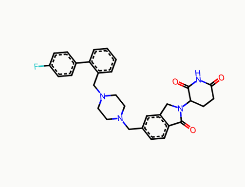 O=C1CCC(N2Cc3cc(CN4CCN(Cc5ccccc5-c5ccc(F)cc5)CC4)ccc3C2=O)C(=O)N1